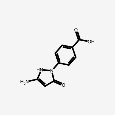 Nc1cc(=O)n(-c2ccc(C(=O)O)cc2)[nH]1